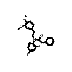 COc1ccc(CCN(C(=O)Cc2ccccc2)c2ccc(F)cc2F)cc1OC